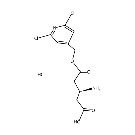 Cl.N[C@@H](CC(=O)O)CC(=O)OCc1cc(Cl)nc(Cl)c1